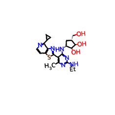 CCNc1nc(C)c(-c2nc3c(C4CC4)nccc3s2)c(N[C@@H]2C[C@H](CO)[C@@H](O)[C@H]2O)n1